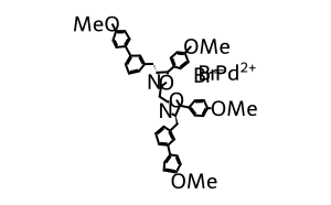 COc1ccc(-c2cccc(C[C@H]3N=C(CC4=N[C@H](Cc5cccc(-c6ccc(OC)cc6)c5)C(c5ccc(OC)cc5)O4)OC3c3ccc(OC)cc3)c2)cc1.[Br-].[Br-].[Pd+2]